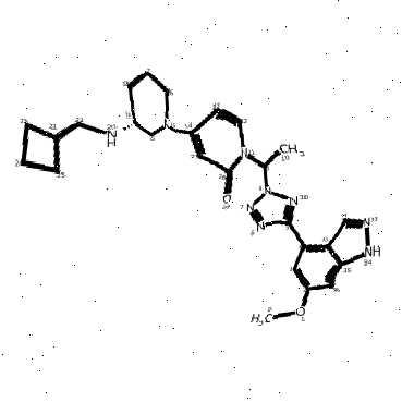 COc1cc(-c2nnn(C(C)n3ccc(N4CCC[C@@H](NCC5CCC5)C4)cc3=O)n2)c2cn[nH]c2c1